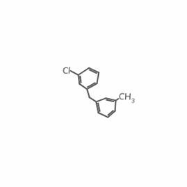 Cc1cccc(Cc2cccc(Cl)c2)c1